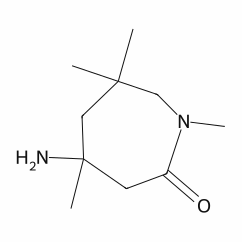 CN1CC(C)(C)CC(C)(N)CC1=O